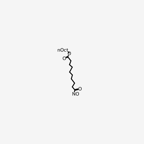 CCCCCCCCOC(=O)CCCCCCCCC(=O)N=O